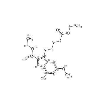 CCOC(=O)CCCCn1c(C(=O)OCC)cc2c(Cl)cc(OC)cc21